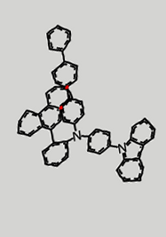 c1ccc(-c2ccc(-c3ccc(N(c4ccc(-n5c6ccccc6c6ccccc65)cc4)c4ccccc4-c4cc5ccccc5c5ccccc45)cc3)cc2)cc1